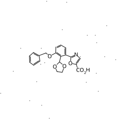 O=C(O)c1cnc(-c2cccc(OCc3ccccc3)c2C2OCCO2)o1